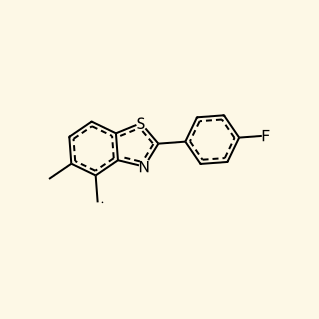 [CH2]c1c(C)ccc2sc(-c3ccc(F)cc3)nc12